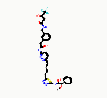 COC(c1ccccc1)C(O)Nc1nnc(CCCCc2ccc(NC(=O)Cc3cccc(CNC(=O)CC(O)C(F)(F)F)c3)nn2)s1